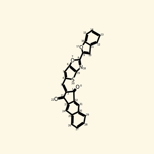 O=C1C(=Cc2cc3oc(-c4cc5ccccc5o4)nc3s2)C(=O)c2cc3ccccc3cc21